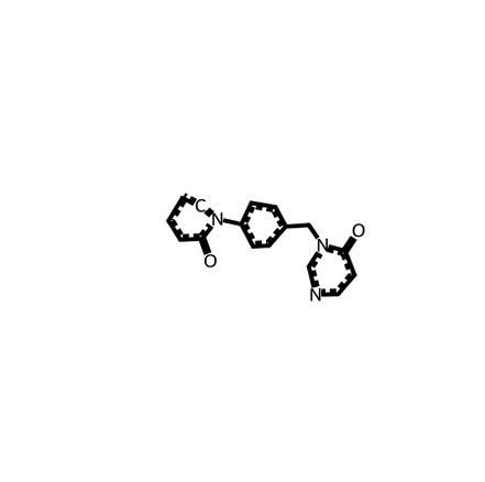 O=c1ccncn1Cc1ccc(-n2ccccc2=O)cc1